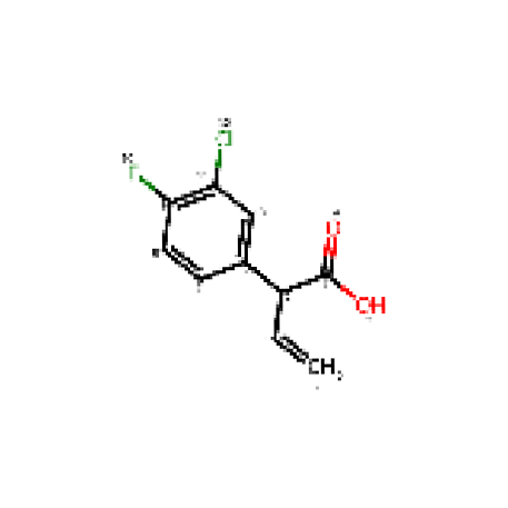 C=CC(C(=O)O)c1ccc(F)c(Cl)c1